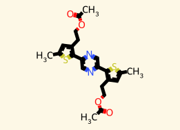 CC(=O)OCCc1cc(C)sc1-c1cnc(-c2sc(C)cc2CCOC(C)=O)cn1